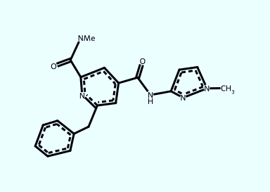 CNC(=O)c1cc(C(=O)Nc2ccn(C)n2)cc(Cc2ccccc2)n1